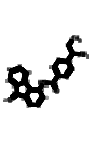 CCC(C)c1ccc(C(=O)Nc2cccc3c2-c2ccccc2C3=O)cc1